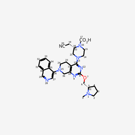 CN1CCC[C@H]1COc1nc2c(c(N3CCN(C(=O)O)[C@@H](CC#N)C3)n1)CCN(c1cncc3ccccc13)C2